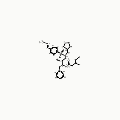 CCC(C)CC(=O)N[C@@H](Cc1ccccc1)[C@H](O)CN(CC1CCCC1)S(=O)(=O)c1ccc(C=NO)cc1